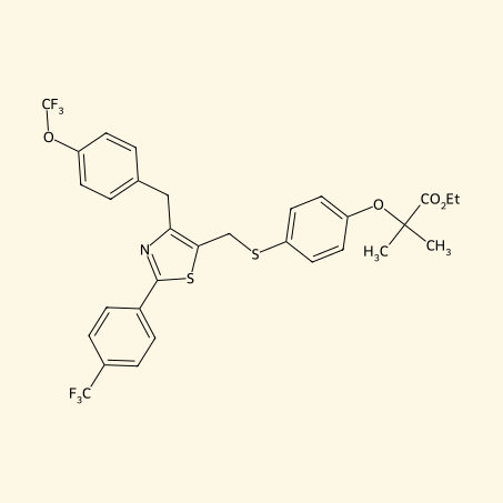 CCOC(=O)C(C)(C)Oc1ccc(SCc2sc(-c3ccc(C(F)(F)F)cc3)nc2Cc2ccc(OC(F)(F)F)cc2)cc1